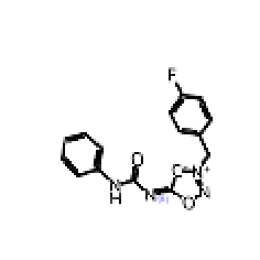 O=C(/N=c1\[cH-][n+](Cc2ccc(F)cc2)no1)Nc1ccccc1